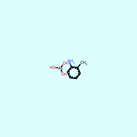 Cc1ccccc1N.O[As](O)O